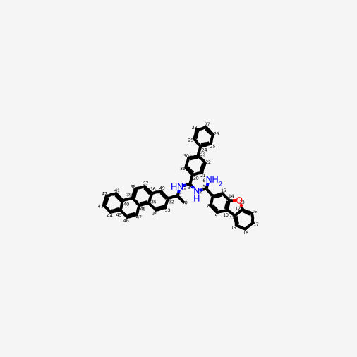 CC(NC(NC(N)c1ccc2c3c(oc2c1)=CCCC=3)c1ccc(-c2ccccc2)cc1)c1ccc2c(ccc3c4ccccc4ccc23)c1